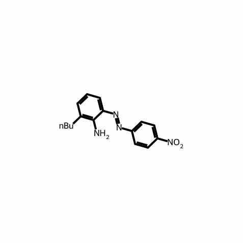 CCCCc1cccc(N=Nc2ccc([N+](=O)[O-])cc2)c1N